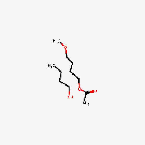 CCCCO.COCCCCOC(C)=O